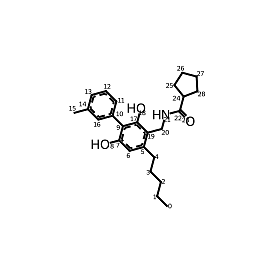 CCCCCc1cc(O)c(-c2cccc(C)c2)c(O)c1CNC(=O)C1CCCC1